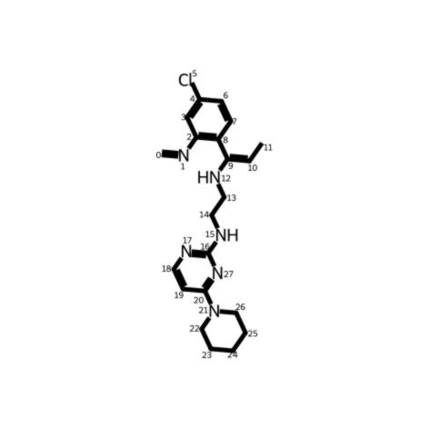 C=Nc1cc(Cl)ccc1/C(=C\C)NCCNc1nccc(N2CCCCC2)n1